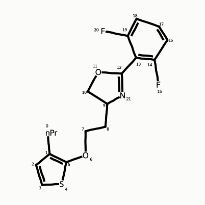 CCCc1ccsc1OCCC1COC(c2c(F)cccc2F)=N1